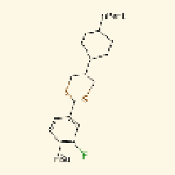 CCCCCC1CCC(C2CSC(c3ccc(CCCC)c(F)c3)SC2)CC1